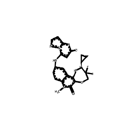 Cn1c(=O)c2c(c3cc(Nc4cc(Cl)nc5ccnn45)ccc31)N[C@@H](C1CC1)C(F)(F)CO2